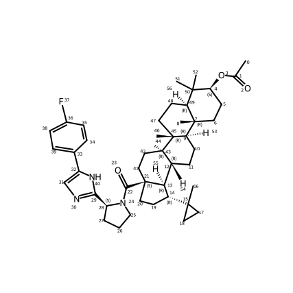 CC(=O)O[C@H]1CC[C@]2(C)[C@H]3CC[C@@H]4[C@H]5[C@H](C6(C)CC6)CC[C@]5(C(=O)N5CCC[C@H]5c5ncc(-c6ccc(F)cc6)[nH]5)CC[C@@]4(C)[C@]3(C)CC[C@H]2C1(C)C